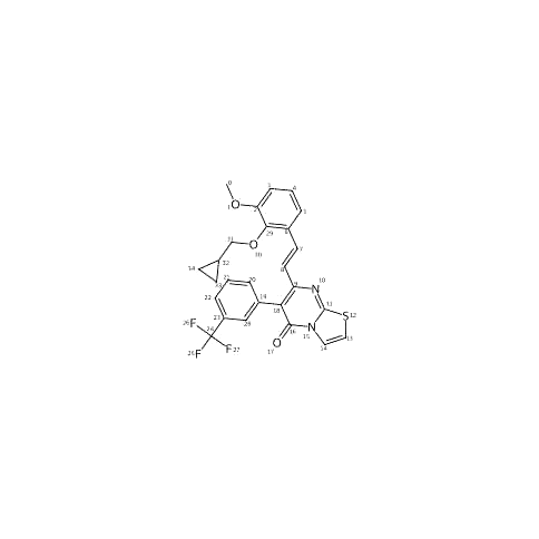 COc1cccc(C=Cc2nc3sccn3c(=O)c2-c2cccc(C(F)(F)F)c2)c1OCC1CC1